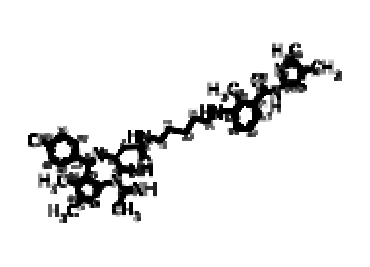 CC(=N)N1C(=N)[C@H](CC(=O)NCCCCCNc2cccc(C(=O)Nc3nc(C)c(C)s3)c2C)N=C(c2ccc(Cl)cc2)c2c1sc(C)c2C